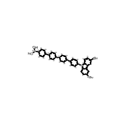 CC(C)(C)c1ccc2c(c1)c1cc(C(C)(C)C)ccc1n2-c1ccc(-c2ccc(-c3ccc(-c4ccc(B(O)O)cc4)cc3)cc2)cc1